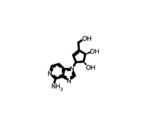 Nc1nccc2c1ncn2C1C=C(CO)[C@@H](O)[C@H]1O